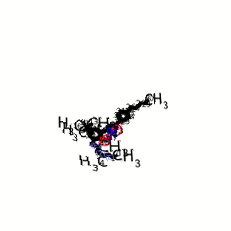 C/C=C/C(C)=C\C(C)=C\c1cc(C(C)(C)CC)cc(-c2cc(-c3ccc(CCCCC)cc3)on2)c1OI